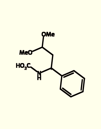 COC(C[C](NC(=O)O)c1ccccc1)OC